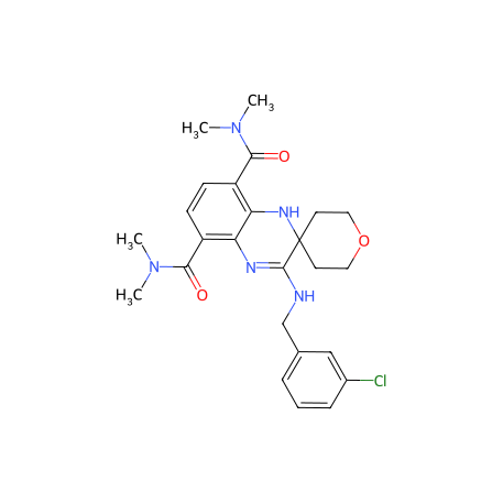 CN(C)C(=O)c1ccc(C(=O)N(C)C)c2c1N=C(NCc1cccc(Cl)c1)C1(CCOCC1)N2